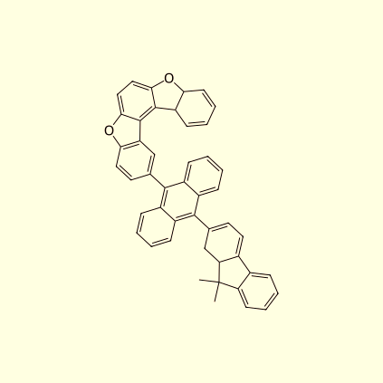 CC1(C)c2ccccc2C2=CC=C(c3c4ccccc4c(-c4ccc5oc6ccc7c(c6c5c4)C4C=CC=CC4O7)c4ccccc34)CC21